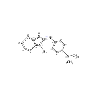 CCn1/c(=N\c2ccc(N(C)C)cc2)sc2ccccc21